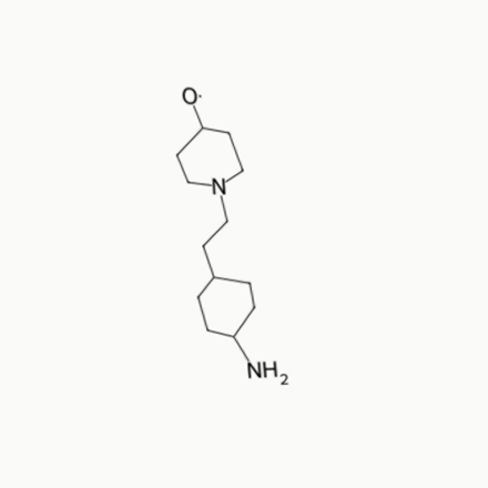 NC1CCC(CCN2CCC([O])CC2)CC1